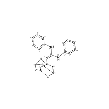 c1ccc(NC(=NC23CC4CC(CC(C4)C2)C3)Nc2ccccc2)cc1